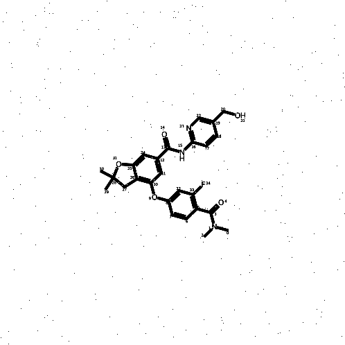 CN(C)C(=O)c1ccc(Oc2cc(C(=O)Nc3ccc(CO)cn3)cc3c2CC(C)(C)O3)cc1F